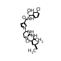 C=C(NC1=NCC[C@@H](n2ccc(C(=O)N[C@H](CO)C3=CC=C[C@H](Cl)C3)c2)N1)/C(Cl)=C\C(F)=C/C